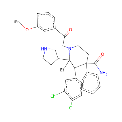 CCC1(C2CCNC2)C(c2ccc(Cl)c(Cl)c2)C(C(N)=O)(c2ccccc2)CCN1CC(=O)c1cccc(OC(C)C)c1